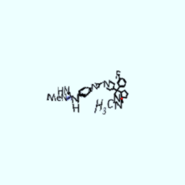 CN/C=C(\C=N)Nc1ccc(N2CC(CN3CCC(C(Cn4ccnc4C)(c4cccc(F)c4)C4CCCC4)CC3)C2)cc1